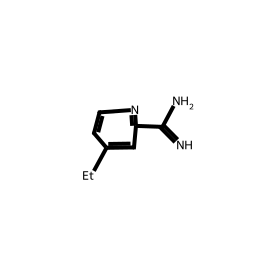 CCc1ccnc(C(=N)N)c1